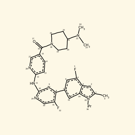 Cc1nc2c(F)cc(-c3nc(Nc4ccc(C(=O)N5CCC(N(C)C)CC5)cn4)ncc3F)cc2n1C(C)C